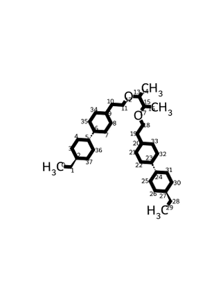 CC[C@H]1CC[C@H](C2CCC(CCOC(C)C(C)OCCC3CCC([C@H]4CC[C@H](CC)CC4)CC3)CC2)CC1